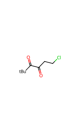 CC(C)(C)C(=O)C(=O)CCCl